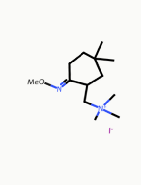 CON=C1CCC(C)(C)CC1C[N+](C)(C)C.[I-]